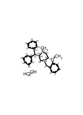 COc1ccccc1CN1CCN(C)[C@H](C(c2ccccc2)c2ccccc2)C1.Cl.Cl